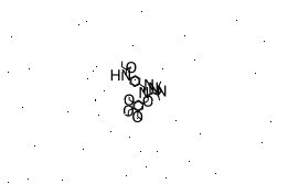 CCC(=O)Nc1ccc(-c2nc(Oc3cc(OC)c(OC)c(OC)c3)c3c(C)nc(C)n3n2)cc1